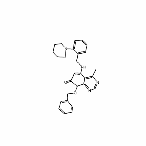 Cc1ncnc2c1c(NCc1ccccc1N1CCCCC1)cc(=O)n2OCc1ccccc1